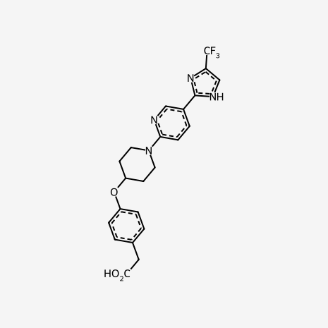 O=C(O)Cc1ccc(OC2CCN(c3ccc(-c4nc(C(F)(F)F)c[nH]4)cn3)CC2)cc1